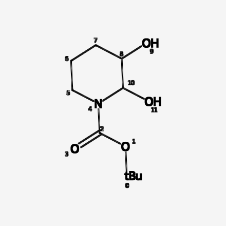 CC(C)(C)OC(=O)N1CCCC(O)C1O